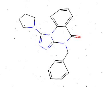 O=c1c2ccccc2n2c(N3CCCC3)nnc2n1Cc1ccccc1